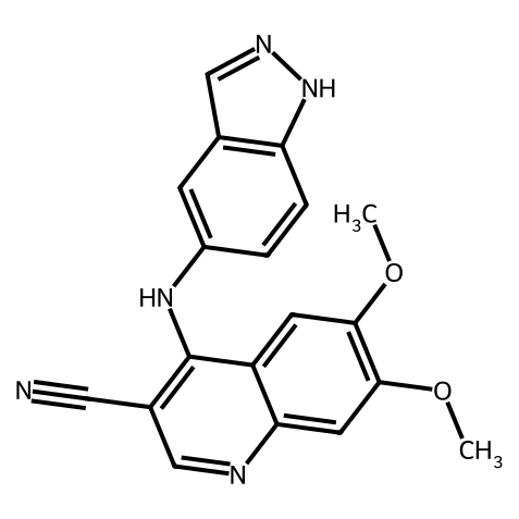 COc1cc2ncc(C#N)c(Nc3ccc4[nH]ncc4c3)c2cc1OC